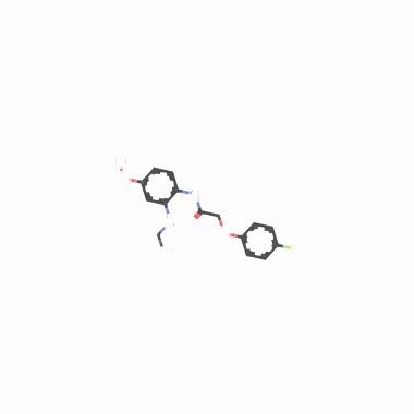 CCOc1ccc(NC(=O)COc2ccc(F)cc2)c(NCC(C)C)c1